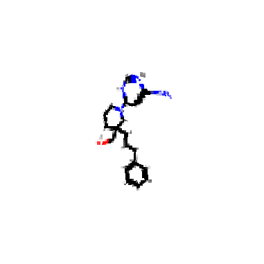 Nc1cc(N2CCCC(CO)(CCCc3ccccc3)C2)ncn1